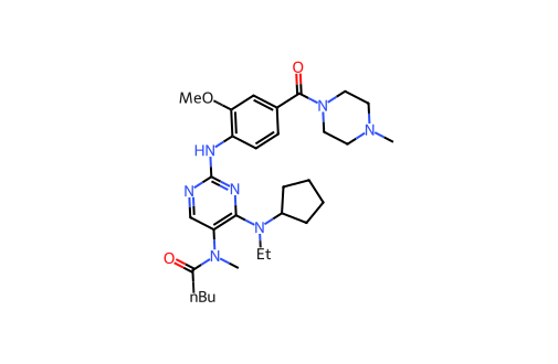 CCCCC(=O)N(C)c1cnc(Nc2ccc(C(=O)N3CCN(C)CC3)cc2OC)nc1N(CC)C1CCCC1